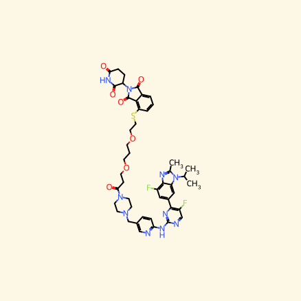 Cc1nc2c(F)cc(-c3nc(Nc4ccc(CN5CCN(C(=O)CCOCCCOCCSc6cccc7c6C(=O)N(C6CCC(=O)NC6=O)C7=O)CC5)cn4)ncc3F)cc2n1C(C)C